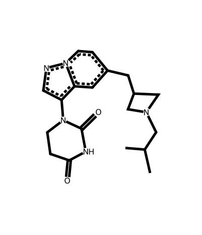 CC(C)CN1CC(Cc2ccn3ncc(N4CCC(=O)NC4=O)c3c2)C1